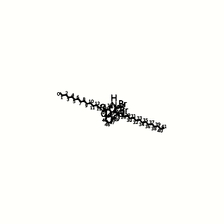 CCCCCCCCCCCCCCOC(=O)C1=CNC(C(Br)Br)=C(C(=O)OCCCCCCCCCCCCCC)C1c1ccccc1